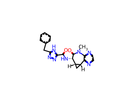 CN1C(=O)[C@@H](NC(=O)c2nnc(Cc3ccccc3)[nH]2)[C@H]2C[C@H]2c2nccnc21